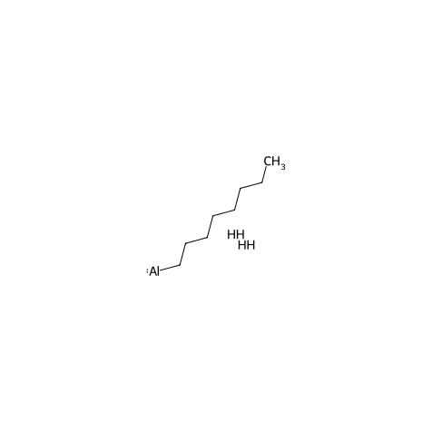 CCCCCCC[CH2][Al].[HH].[HH]